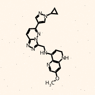 COc1cnc2c(c1)NCC=C2NCc1nnc2ccc(-c3cnn(C4CC4)c3)nn12